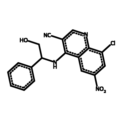 N#Cc1cnc2c(Cl)cc([N+](=O)[O-])cc2c1NC(CO)c1ccccc1